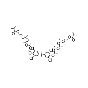 C=C(C)C(=O)OCCOC(C)OC(C)OC(C)OC(C)Oc1c(Cl)cc(C(C)(C)c2cc(Cl)c(OC(C)OC(C)OC(C)OC(C)OCCOC(=O)C(=C)C)c(Cl)c2)cc1Cl